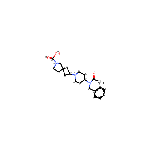 CC(=O)N(Cc1ccccc1)C1CCN(C2CC3(CCN(C(=O)O)C3)C2)CC1